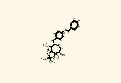 CC1(C)O[C@@H]2[C@@H](O1)[C@@H](O)[C@@H](Cc1ccc(OCc3ccccc3)cc1)SC[C@@H]2O